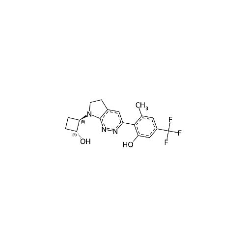 Cc1cc(C(F)(F)F)cc(O)c1-c1cc2c(nn1)N([C@@H]1CC[C@H]1O)CC2